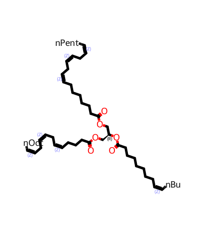 CCCC/C=C\CCCCCCCC(=O)O[C@@H](COC(=O)CCC/C=C\C/C=C\C/C=C\CCCCCCCC)COC(=O)CCCCCC/C=C\C/C=C\C/C=C\CCCCC